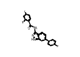 O=C(Nc1n[nH]c2cc(-c3ccc(F)cc3)ccc12)c1ccc(F)cc1F